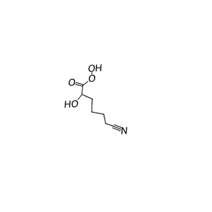 N#CCCCCC(O)C(=O)OO